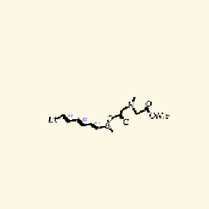 CC/C=C/C=C/C=C/B(C)OC(=O)CN(C)CC(=O)OC